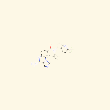 Nc1nc2ccc(C(=O)N(C3CCc4nc(C(F)(F)F)ccc43)C34CC(C3)C4)cc2n2cncc12